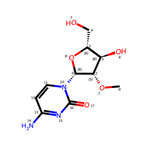 CO[C@H]1[C@H](O)[C@@H](CO)O[C@H]1n1ccc(N)nc1=O